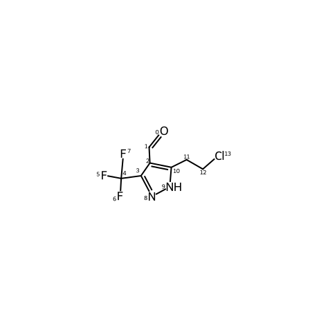 O=Cc1c(C(F)(F)F)n[nH]c1CCCl